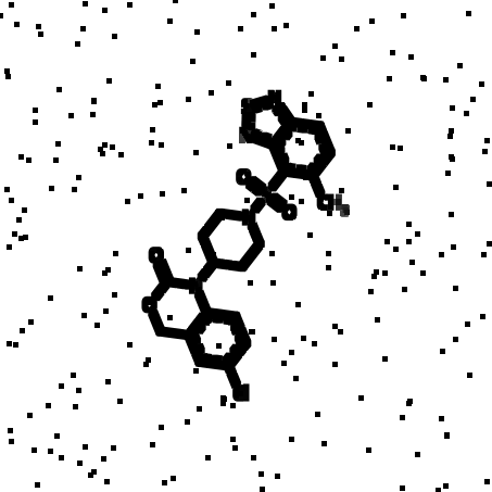 Cc1ccc2nsnc2c1S(=O)(=O)N1CCC(N2C(=O)OCc3cc(Cl)ccc32)CC1